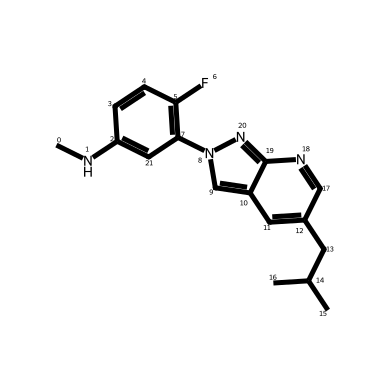 CNc1ccc(F)c(-n2cc3cc(CC(C)C)cnc3n2)c1